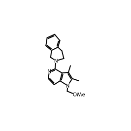 COCn1c(C)c(C)c2c(N3CCc4ccccc4C3)nccc21